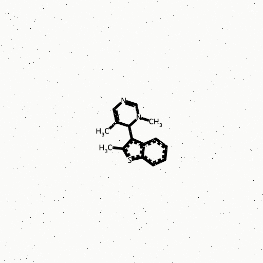 CC1=CN=CN(C)C1c1c(C)sc2ccccc12